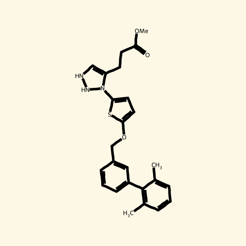 COC(=O)CCC1=CNNN1c1ccc(OCc2cccc(-c3c(C)cccc3C)c2)s1